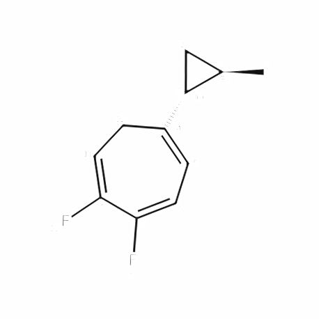 C[C@@H]1C[C@H]1C1=CC=C(F)C(F)=CC1